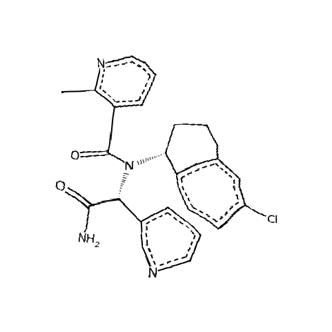 Cc1ncccc1C(=O)N([C@@H]1CCc2cc(Cl)ccc21)[C@@H](C(N)=O)c1cccnc1